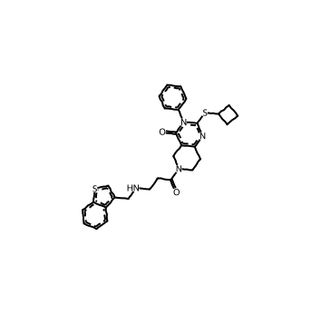 O=C(CCNCc1csc2ccccc12)N1CCc2nc(SC3CCC3)n(-c3ccccc3)c(=O)c2C1